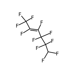 FC(=C(F)C(F)(F)C(F)(F)C(F)F)C(F)(F)F